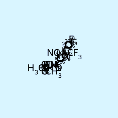 CC(C)(CNC(=O)c1cc(C#N)n2c(CC3CCC(F)(F)CC3)c(C(F)(F)F)nc2c1)S(C)(=O)=O